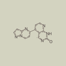 O=c1n[c]c2c(-c3ccn4nccc4n3)ccnc2[nH]1